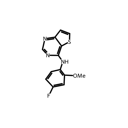 COc1cc(F)ccc1Nc1ncnc2ccsc12